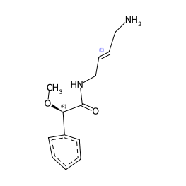 CO[C@@H](C(=O)NC/C=C/CN)c1ccccc1